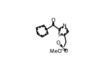 COS(=O)(=O)Cc1cnc(C(=O)c2ccccc2)s1